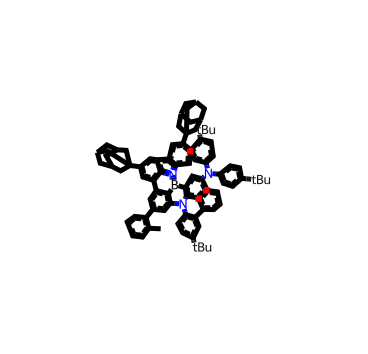 Cc1ccccc1-c1cc2c3c(c1)N(c1ccc(C(C)(C)C)cc1-c1ccccc1)c1ccc(N(c4ccc(C(C)(C)C)cc4)c4ccc(C(C)(C)C)cc4)cc1B3n1c3ccc(C45CC6CC(CC(C6)C4)C5)cc3c3cc(C45CC6CC(CC(C6)C4)C5)cc-2c31